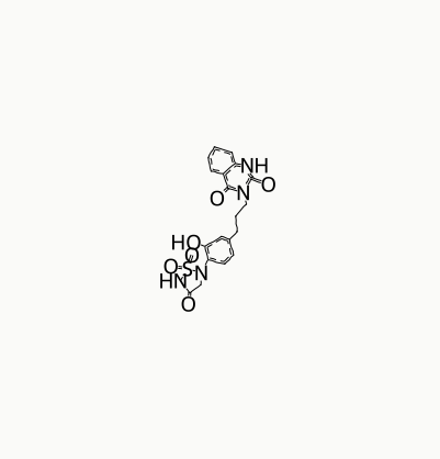 O=C1CN(c2ccc(CCCn3c(=O)[nH]c4ccccc4c3=O)cc2O)S(=O)(=O)N1